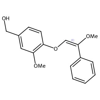 CO/C(=C/Oc1ccc(CO)cc1OC)c1ccccc1